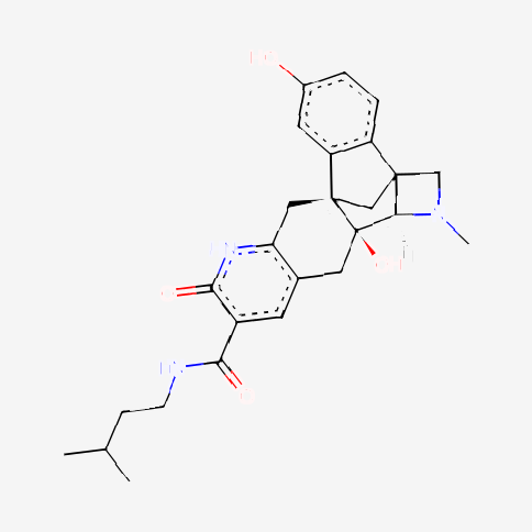 CC(C)CCNC(=O)c1cc2c([nH]c1=O)C[C@@]13CC4(CN(C)[C@H]4[C@]1(O)C2)c1ccc(O)cc13